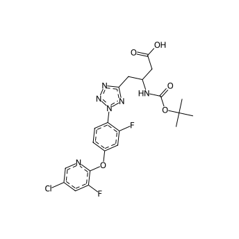 CC(C)(C)OC(=O)NC(CC(=O)O)Cc1nnn(-c2ccc(Oc3ncc(Cl)cc3F)cc2F)n1